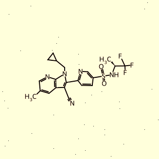 Cc1cnc2c(c1)c(C#N)c(-c1ccc(S(=O)(=O)N[C@@H](C)C(F)(F)F)cn1)n2CC1CC1